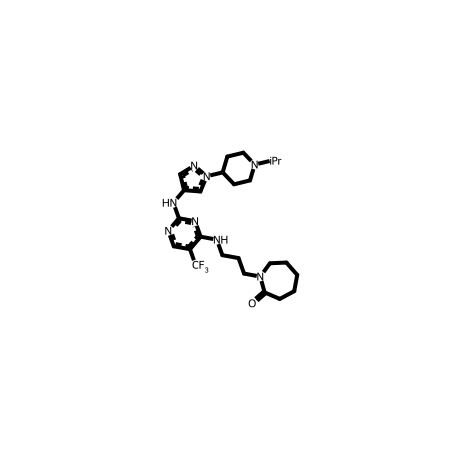 CC(C)N1CCC(n2cc(Nc3ncc(C(F)(F)F)c(NCCCN4CCCCCC4=O)n3)cn2)CC1